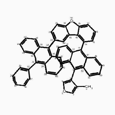 Cc1cocc1-c1c2ccccc2c(-c2cccc3oc4ccc(-c5c6ccccc6c(-c6ccccc6)c6ccccc56)cc4c23)c2ccccc12